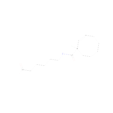 O=C(O)CCCCCNC(=O)C1(F)/C=C\CCCCC1